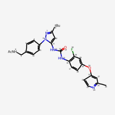 CC(=O)NCc1ccc(-n2nc(C(C)(C)C)cc2NC(=O)Nc2ccc(Oc3ccnc(C)c3)cc2F)cc1